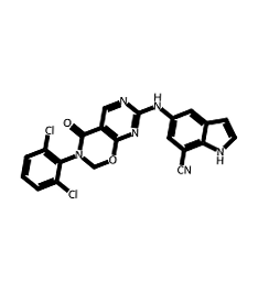 N#Cc1cc(Nc2ncc3c(n2)OCN(c2c(Cl)cccc2Cl)C3=O)cc2cc[nH]c12